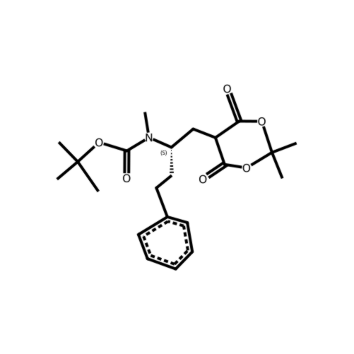 CN(C(=O)OC(C)(C)C)[C@@H](CCc1ccccc1)CC1C(=O)OC(C)(C)OC1=O